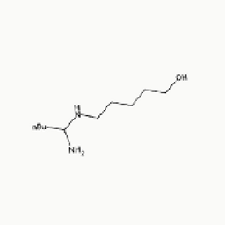 CCCCC(N)NCCCCCO